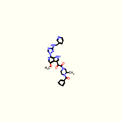 COc1cnc(-n2cnc(NCc3cccnc3)n2)c2[nH]cc(C(=O)C(=O)N3CCN(C(=O)c4ccccc4)C(C)C3)c12